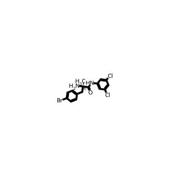 C[C@@](N)(Cc1ccc(Br)cc1)C(=O)Nc1cc(Cl)cc(Cl)c1